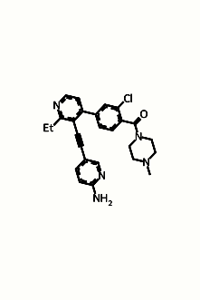 CCc1nccc(-c2ccc(C(=O)N3CCN(C)CC3)c(Cl)c2)c1C#Cc1ccc(N)nc1